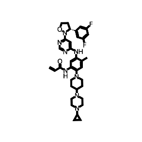 C=CC(=O)Nc1cc(Nc2cc(N3OCC[C@@H]3c3cc(F)cc(F)c3)ncn2)c(C)cc1N1CCC(N2CCN(C3CC3)CC2)CC1